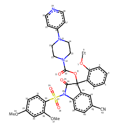 CCOc1ccccc1C1(OC(=O)N2CCN(c3ccncc3)CC2)C(=O)N(S(=O)(=O)c2ccc(OC)cc2OC)c2ccc(C#N)cc21